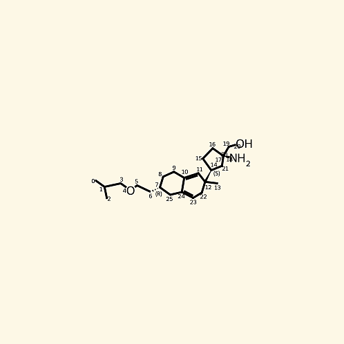 CC(C)COCC[C@@H]1CCC2=CC(C)([C@H]3CC[C@](N)(CO)C3)CC=C2C1